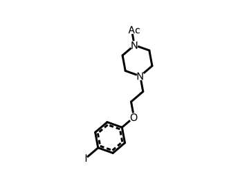 CC(=O)N1CCN(CCOc2ccc(I)cc2)CC1